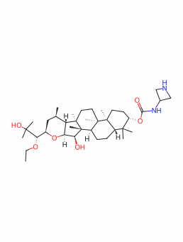 CCO[C@@H]([C@H]1C[C@@H](C)[C@H]2[C@H](O1)[C@H](O)[C@@]1(C)[C@@H]3CC[C@H]4C(C)(C)[C@@H](OC(=O)NC5CNC5)CC[C@]4(C)[C@]3(C)CC[C@]21C)C(C)(C)O